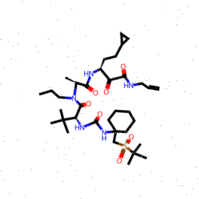 C=CCNC(=O)C(=O)[C@H](CCC1CC1)NC(=O)[C@H](C)N(CCC)C(=O)[C@@H](NC(=O)NC1(CS(=O)(=O)C(C)(C)C)CCCCC1)C(C)(C)C